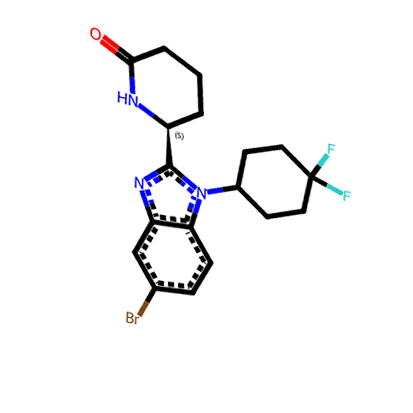 O=C1CCC[C@@H](c2nc3cc(Br)ccc3n2C2CCC(F)(F)CC2)N1